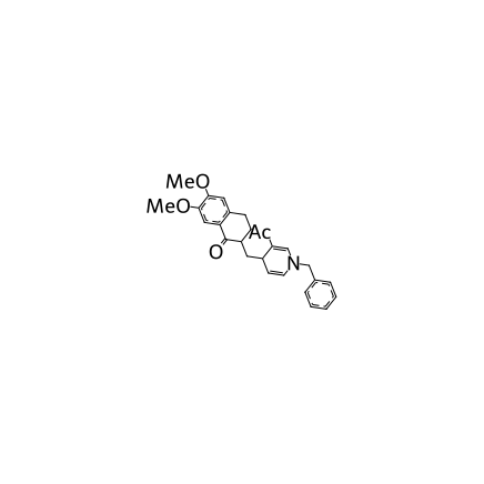 COc1cc2c(cc1OC)C(=O)C(CC1C=CN(Cc3ccccc3)C=C1C(C)=O)CC2